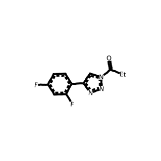 CCC(=O)n1cc(-c2ccc(F)cc2F)nn1